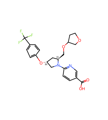 O=C(O)c1ccc(N2C[C@H](Oc3ccc(C(F)(F)F)cc3)C[C@H]2COC2CCOC2)nc1